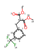 COC(=O)C(Cc1cc[c]c(C(F)(F)F)c1)C(=O)OC